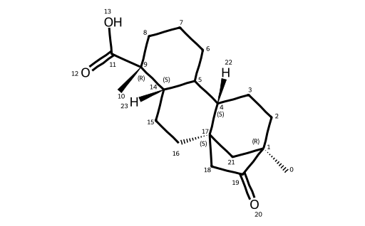 C[C@]12CC[C@H]3C4CCC[C@@](C)(C(=O)O)[C@H]4CC[C@@]3(CC1=O)C2